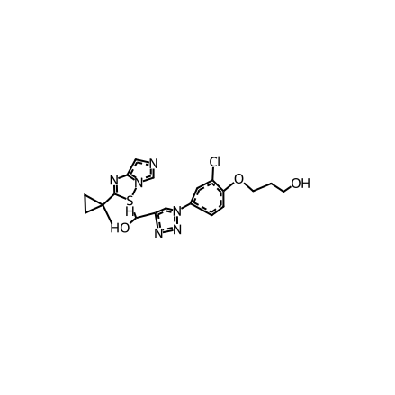 CC1(C2=Nc3cncn3[SH]2C(O)c2cn(-c3ccc(OCCCO)c(Cl)c3)nn2)CC1